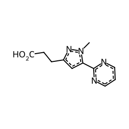 Cn1nc(CCC(=O)O)cc1-c1ncccn1